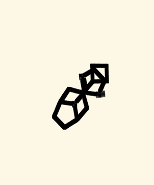 C1CC(N2CC3CCC(C2)N3C2=NCCN2)C1